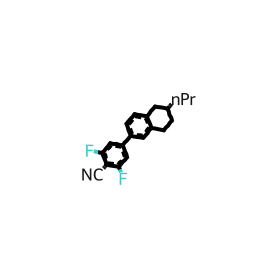 CCCC1CCc2cc(-c3cc(F)c(C#N)c(F)c3)ccc2C1